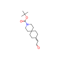 CC(C)(C)OC(=O)N1CCC2(CCC(=CC=O)CC2)CC1